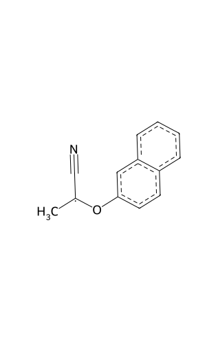 C[C](C#N)Oc1ccc2ccccc2c1